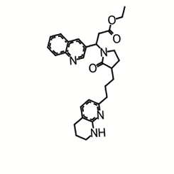 CCOC(=O)CC(c1cnc2ccccc2c1)N1CCC(CCCc2ccc3c(n2)NCCC3)C1=O